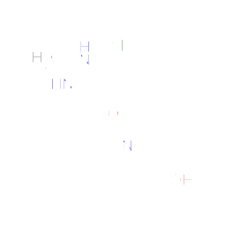 C=C1Nc2c(Cl)cc3cc(CN4CCCCC4CCO)oc3c2C2(CCCCC2)N1